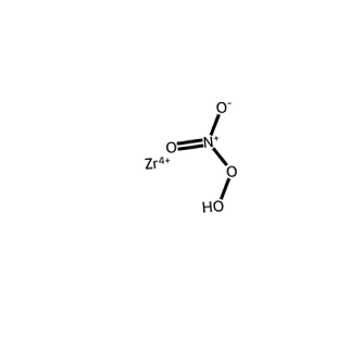 O=[N+]([O-])OO.[Zr+4]